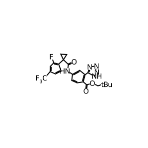 CC(C)(C)COC(=O)c1ccc(NC(=O)C2(c3ccc(C(F)(F)F)cc3F)CC2)cc1-c1nnn[nH]1